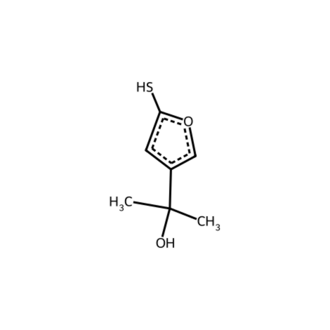 CC(C)(O)c1coc(S)c1